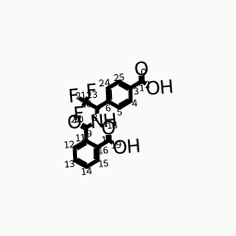 O=C(O)c1ccc(C(NC(=O)c2ccccc2C(=O)O)C(F)(F)F)cc1